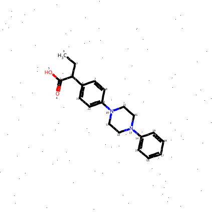 CCC(C(=O)O)c1ccc(N2CCN(c3ccccc3)CC2)cc1